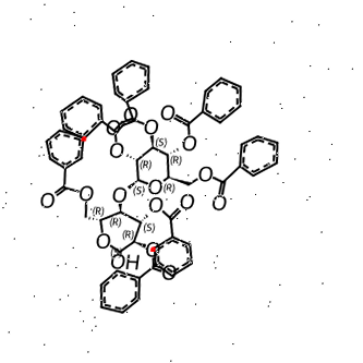 O=C(OC[C@H]1O[C@H](O)[C@H](OC(=O)c2ccccc2)[C@@H](OC(=O)c2ccccc2)[C@@H]1O[C@@H]1O[C@H](COC(=O)c2ccccc2)[C@@H](OC(=O)c2ccccc2)[C@H](OC(=O)c2ccccc2)[C@H]1OC(=O)c1ccccc1)c1ccccc1